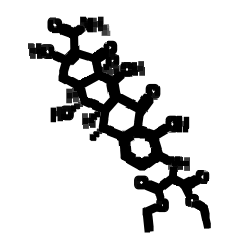 CCOC(=O)C(Nc1ccc2c(c1O)C(=O)C1=C(O)[C@]3(O)C(=O)C(C(N)=O)=C(O)C[C@@H]3[C@@H](O)[C@@H]1[C@H]2C)C(=O)OCC